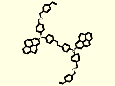 C=Cc1ccc(COCc2ccc(N(c3ccc(CCc4ccc(N(c5ccc(COCc6ccc(C=C)cc6)cc5)c5cc6ccc7cccc8ccc(c5)c6c78)cc4)cc3)c3cc4ccc5cccc6ccc(c3)c4c56)cc2)cc1